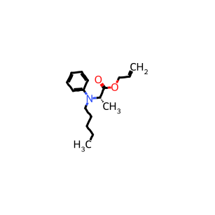 C=CCOC(=O)[C@H](C)N(CCCCC)c1ccccc1